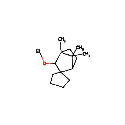 CCOC1C2(CCCC2)C2CCC1(C)C2(C)C